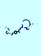 C=C/C(=C\C=C(/C)c1nc2[nH]c1COCCCCCCC[C@H](NC(=O)OC)C(=O)N1CCC[C@@H]21)c1ccc(-c2c[nH]c([C@@H]3CCCN3C(=O)[C@@H](NC(=O)OC)C(C)C)n2)cc1